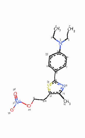 CCN(CC)c1ccc(-c2nc(C)c(CCO[N+](=O)[O-])s2)cc1